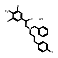 Cl.Nc1c(Cl)cc(C(O)CN(CCCc2ccc(Cl)cc2)Cc2ccccc2)cc1Cl